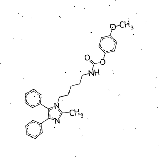 COc1ccc(OC(=O)NCCCCCn2c(C)nc(-c3ccccc3)c2-c2ccccc2)cc1